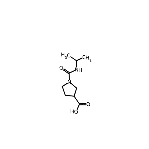 CC(C)NC(=O)N1CCC(C(=O)O)C1